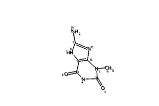 CN1C(=O)[N]C(=O)c2[nH]c(N)nc21